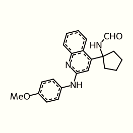 COc1ccc(Nc2cc(C3(NC=O)CCCC3)c3ccccc3n2)cc1